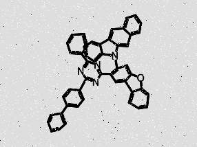 c1ccc(-c2ccc(-c3nc(-c4ccccc4)nc(-c4cc5c(cc4-n4c6ccccc6c6cc7ccccc7cc64)oc4ccccc45)n3)cc2)cc1